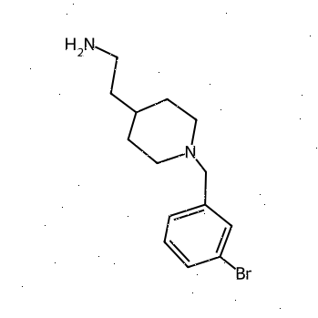 NCCC1CCN(Cc2cccc(Br)c2)CC1